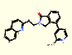 COc1cc(-c2cccc3c2CN(CCc2ccc4ccccc4n2)C3=O)ccn1